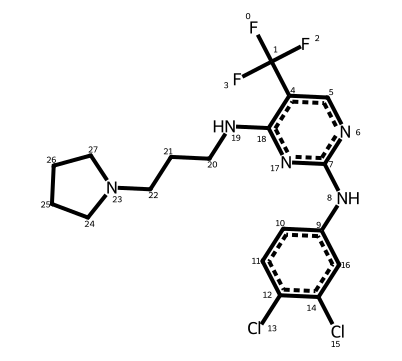 FC(F)(F)c1cnc(Nc2ccc(Cl)c(Cl)c2)nc1NCCCN1CCCC1